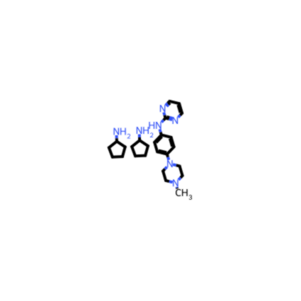 CN1CCN(c2ccc(Nc3ncccn3)cc2)CC1.NC1CCCC1.NC1CCCC1